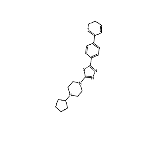 C1=CC(c2ccc(-c3nnc(N4CCN(C5CCCC5)CC4)s3)cc2)=CCC1